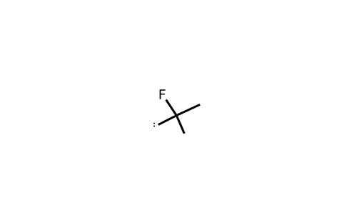 [CH]C(C)(C)F